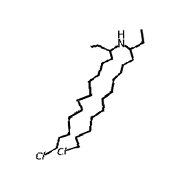 CCC(CCCCCCCCCCCCl)NC(CC)CCCCCCCCCCCCl